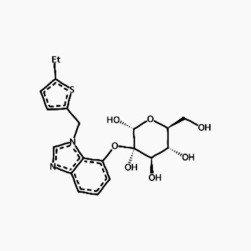 CCc1ccc(Cn2cnc3cccc(O[C@@]4(O)[C@H](O)O[C@@H](CO)[C@H](O)[C@H]4O)c32)s1